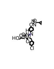 O=c1[nH]/c(=N\c2ccc(Oc3noc(C4CC4)n3)cc2)n(Cc2ccc(Cl)cc2)c(=O)n1C[C@H](O)CO